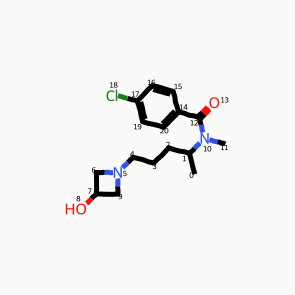 CC(CCCN1CC(O)C1)N(C)C(=O)c1ccc(Cl)cc1